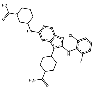 NC(=O)C1CCC(n2c(Nc3c(F)cccc3Cl)nc3cnc(NC4CCCN(C(=O)O)C4)nc32)CC1